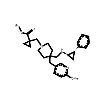 COc1ccc(CC2(CN[C@@H]3C[C@H]3c3ccccc3)CCN(CC3(C(=O)OC(C)(C)C)CC3)CC2)cn1